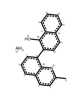 Cc1ccc2cccc(-c3ccc4ccccc4c3O)c2n1.[AlH3]